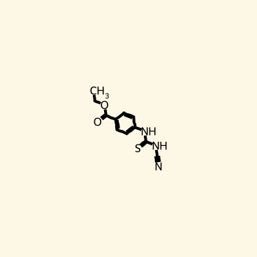 CCOC(=O)c1ccc(NC(=S)NC#N)cc1